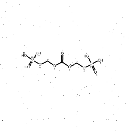 O=C(OCOP(=O)(O)O)OCOP(=O)(O)O